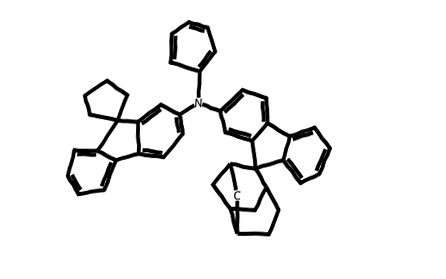 c1ccc(N(c2ccc3c(c2)C2(CCCC2)c2ccccc2-3)c2ccc3c(c2)C2(c4ccccc4-3)C3CCC4CC2CC4C3)cc1